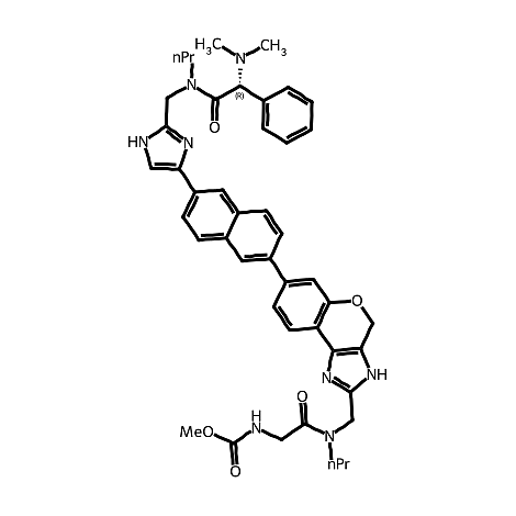 CCCN(Cc1nc2c([nH]1)COc1cc(-c3ccc4cc(-c5c[nH]c(CN(CCC)C(=O)[C@@H](c6ccccc6)N(C)C)n5)ccc4c3)ccc1-2)C(=O)CNC(=O)OC